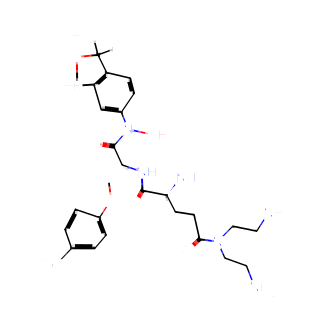 CC1(C)OBc2cc(N(O)C(=O)[C@@H](COc3ccc(C(F)(F)F)cc3)NC(=O)[C@@H](N)CCC(=O)N(CCN)CCN)ccc21